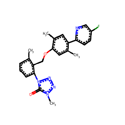 Cc1cc(-c2ccc(F)cn2)c(C)cc1OCc1c(C)cccc1-n1nnn(C)c1=O